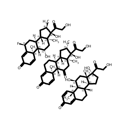 C[C@@H]1C[C@H]2[C@@H]3C[C@H](F)C4=CC(=O)C=C[C@]4(C)[C@H]3[C@@H](O)C[C@]2(C)[C@@]1(O)C(=O)CO.C[C@H]1C[C@H]2[C@@H]3CCC4=CC(=O)C=C[C@]4(C)[C@H]3C(=O)C[C@]2(C)[C@@]1(O)C(=O)CO.C[C@]12C=CC(=O)C=C1CC[C@@H]1[C@@H]2[C@@H](O)C[C@@]2(C)[C@H]1CC[C@]2(O)C(=O)CO